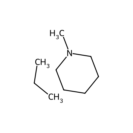 CCC.CN1CCCCC1